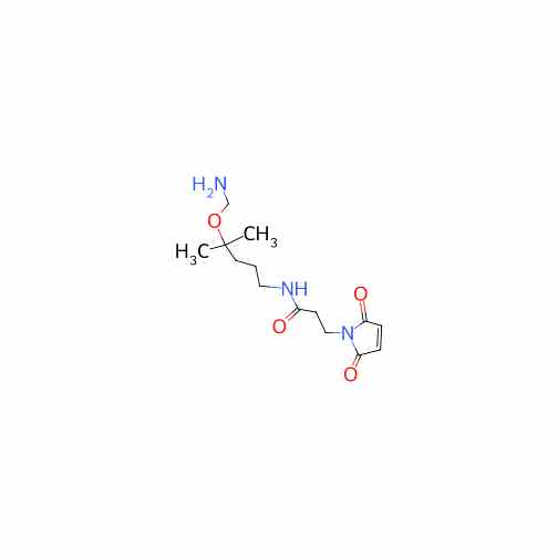 CC(C)(CCCNC(=O)CCN1C(=O)C=CC1=O)OCN